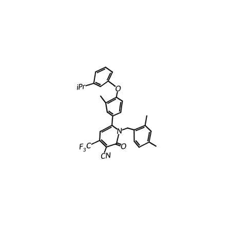 Cc1ccc(Cn2c(-c3ccc(Oc4cccc(C(C)C)c4)c(C)c3)cc(C(F)(F)F)c(C#N)c2=O)c(C)c1